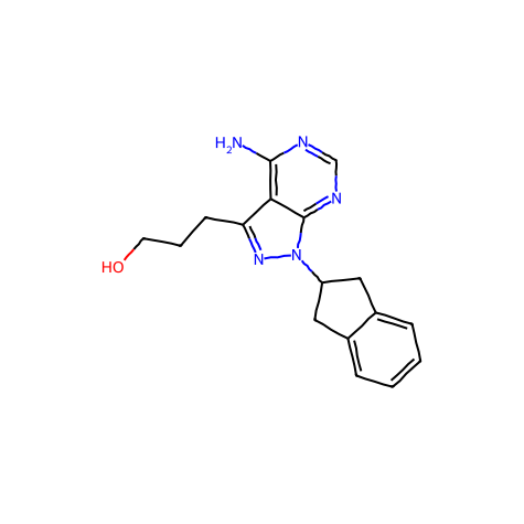 Nc1ncnc2c1c(CCCO)nn2C1Cc2ccccc2C1